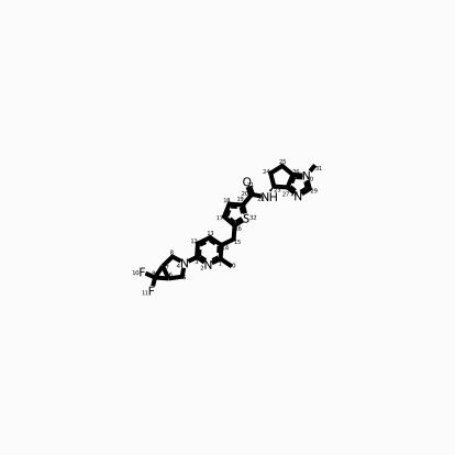 Cc1nc(N2CC3C(C2)C3(F)F)ccc1Cc1ccc(C(=O)N[C@@H]2CCc3c2ncn3C)s1